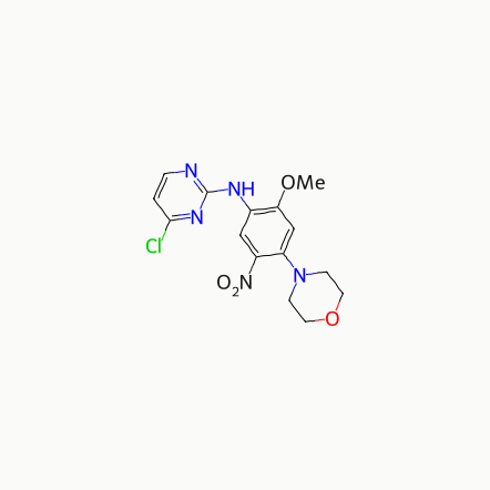 COc1cc(N2CCOCC2)c([N+](=O)[O-])cc1Nc1nccc(Cl)n1